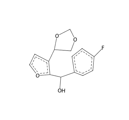 OC(c1ccc(F)cc1)c1occc1C1COCO1